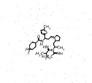 CC(=N)N(C(=N)C(C)C)C(C)CC1CCCN1CCC(NC(=O)C1CCC(F)(F)CC1)c1ccc(C)s1